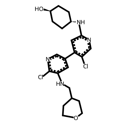 O[C@H]1CC[C@H](Nc2cc(-c3cnc(Cl)c(NCC4CCOCC4)c3)c(Cl)cn2)CC1